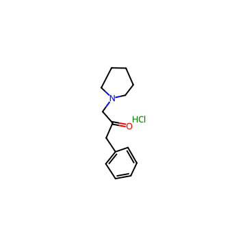 Cl.O=C(Cc1ccccc1)CN1CCCCC1